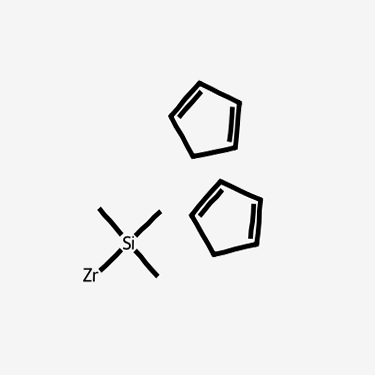 C1=CCC=C1.C1=CCC=C1.C[Si](C)(C)[Zr]